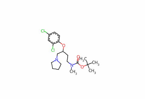 CN(CCC(CN1CCCC1)Oc1ccc(Cl)cc1Cl)C(=O)OC(C)(C)C